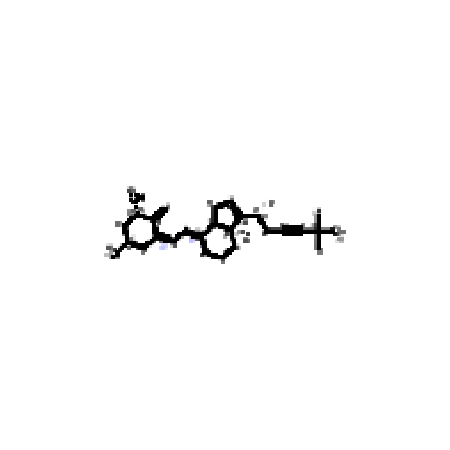 C=C1/C(=C\C=C2/CCC[C@]3(C)C([C@H](C)CC#CC(C)(C)O)=CCC23)C[C@@H](O)C[C@@H]1O